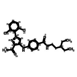 CCN(CC)CCNC(=O)c1ccc(Nc2cn(-c3c(Cl)cccc3Cl)nc2C(N)=O)cc1